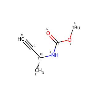 C#C[C@@H](C)NC(=O)OC(C)(C)C